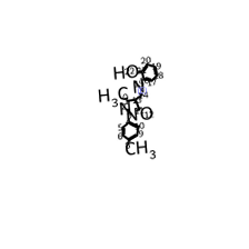 CC1=NN(c2ccc(C)cc2)C(=O)C1/C=N/c1ccccc1O